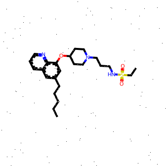 CCCCCc1cc(OC2CCN(CCCNS(=O)(=O)CC)CC2)c2ncccc2c1